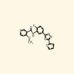 COc1ccncc1C(=O)Nc1cc(-c2nnc(-c3ccco3)o2)ccc1F